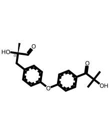 CC(C)(O)C(=O)c1ccc(Oc2ccc(C[C@](C)(O)C=O)cc2)cc1